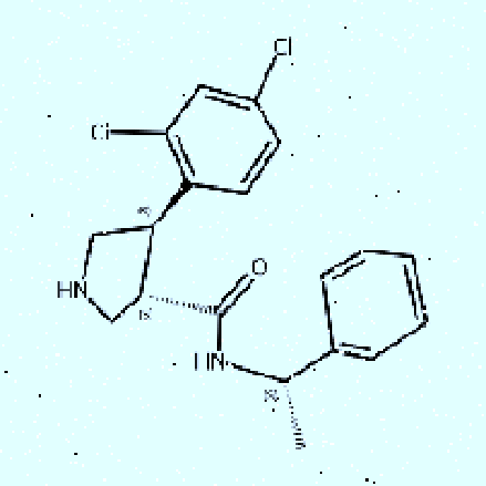 C[C@H](NC(=O)[C@@H]1CNC[C@H]1c1ccc(Cl)cc1Cl)c1ccccc1